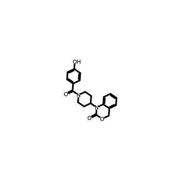 O=C(c1ccc(O)cc1)N1CCC(N2C(=O)OCc3ccccc32)CC1